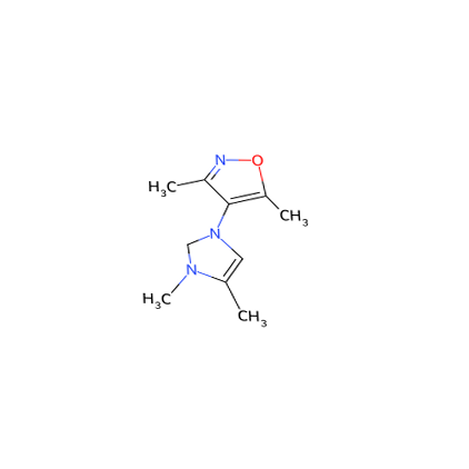 CC1=CN(c2c(C)noc2C)CN1C